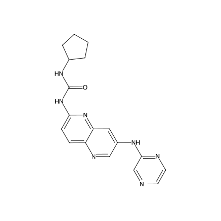 O=C(Nc1ccc2ncc(Nc3cnccn3)cc2n1)NC1CCCC1